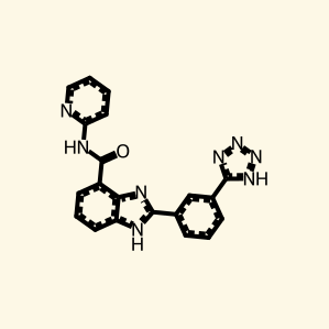 O=C(Nc1ccccn1)c1cccc2[nH]c(-c3cccc(-c4nnn[nH]4)c3)nc12